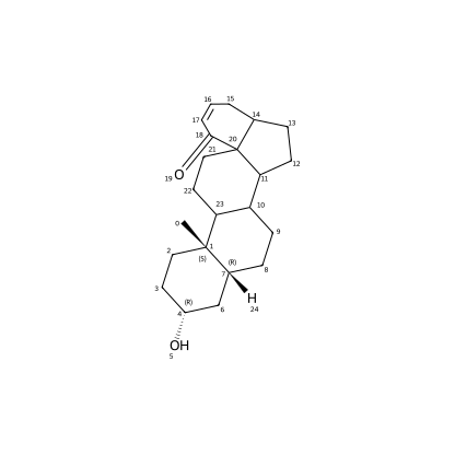 C[C@]12CC[C@@H](O)C[C@H]1CCC1C3CCC4CC=CC(=O)C43CCC12